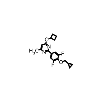 Cc1cc(OC2CCC2)nc(-c2cc(F)c(OCC3CC3)c(F)c2)n1